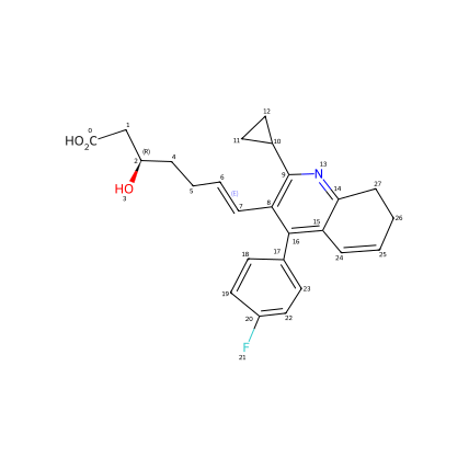 O=C(O)C[C@H](O)CC/C=C/c1c(C2CC2)nc2c(c1-c1ccc(F)cc1)C=CCC2